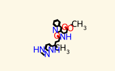 CCOC(=O)CC(NC(=O)CCC(C)C1=CC=C2NCCN=C2N1)c1cnc2ccccc2c1